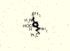 CSCC(N)c1ccc(C(N)CSC)cc1.Cl.Cl